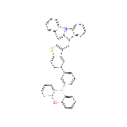 c1cc(B2c3ccccc3Oc3ccccc32)cc(-c2ccc3sc4c(cc5c6ccccc6n6c7ccccc7c4c56)c3c2)c1